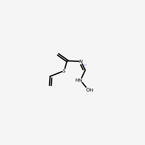 C=CSC(=C)/N=C\NO